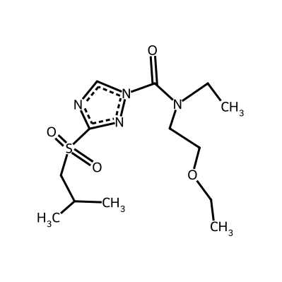 CCOCCN(CC)C(=O)n1cnc(S(=O)(=O)CC(C)C)n1